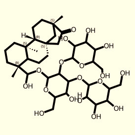 C[C@@]12CC[C@@H]3[C@](CCC4[C@](C)(C(O)OC5OC(CO)C(O)C(OC6OC(CO)C(O)C(O)C6O)C5OC5OC(CO)C(O)C(O)C5O)CCC[C@]43C)(CC1=O)C2